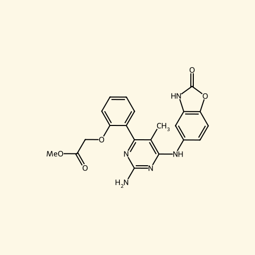 COC(=O)COc1ccccc1-c1nc(N)nc(Nc2ccc3oc(=O)[nH]c3c2)c1C